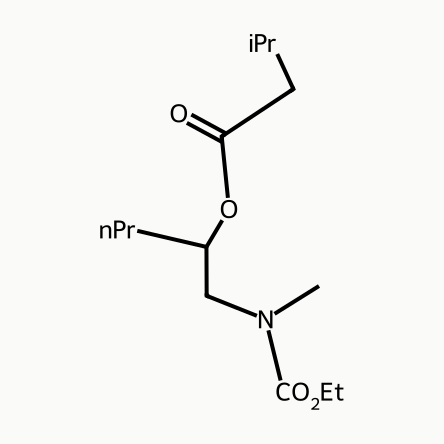 CCCC(CN(C)C(=O)OCC)OC(=O)CC(C)C